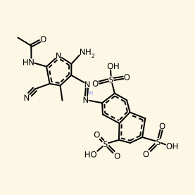 CC(=O)Nc1nc(N)c(/N=N/c2cc3c(S(=O)(=O)O)cc(S(=O)(=O)O)cc3cc2S(=O)(=O)O)c(C)c1C#N